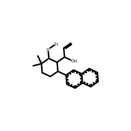 C=CC(O)C1C(c2ccc3ccccc3c2)CCC(C)(C)C1OCC